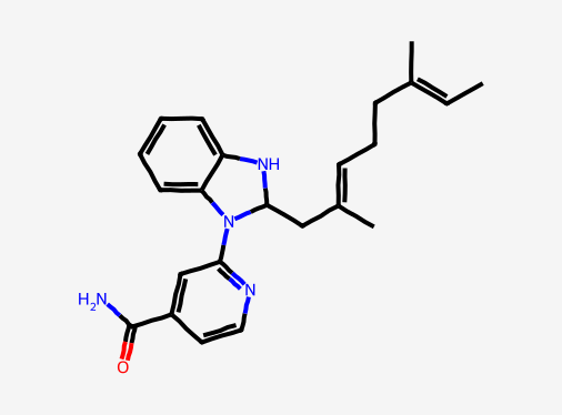 CC=C(C)CCC=C(C)CC1Nc2ccccc2N1c1cc(C(N)=O)ccn1